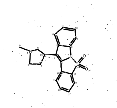 CN1CC[C@H](c2c3n(c4ccccc24)S(=O)(=O)c2ccccc2-3)C1